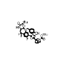 CC(C)(C)OC(=O)NC1CC(F)(F)c2cc(F)c(-c3nnc(C45CC(CN(C(=O)OC(C)(C)C)C4)C5)o3)cc2N(Cc2ccc(C#N)cc2)C1=O